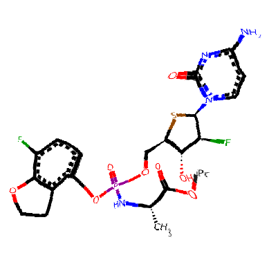 CC(C)OC(=O)[C@H](C)NP(=O)(OC[C@H]1S[C@@H](n2ccc(N)nc2=O)[C@@H](F)[C@@H]1O)Oc1ccc(F)c2c1CCO2